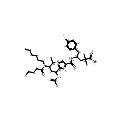 CCCCCCN(C(=O)CCCC)C(CC(OC(C)=O)c1nc(C(=O)NC(Cc2ccc(F)cc2)CC(C)(C)C(=O)O)cs1)C(C)C